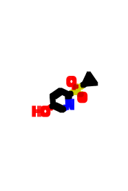 O=S(=O)(c1ccc(O)cn1)C1CC1